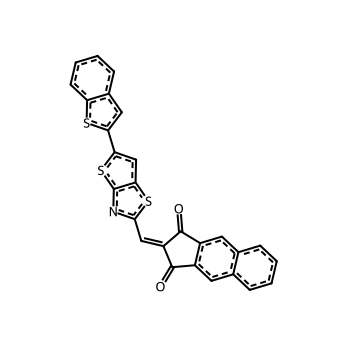 O=C1C(=Cc2nc3sc(-c4cc5ccccc5s4)cc3s2)C(=O)c2cc3ccccc3cc21